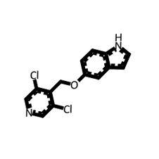 Clc1cncc(Cl)c1COc1ccc2[nH]ccc2c1